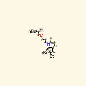 CCCCC(CC)COCCCN1C(C)=C[C]C(CC(CC)CCCC)=C1C